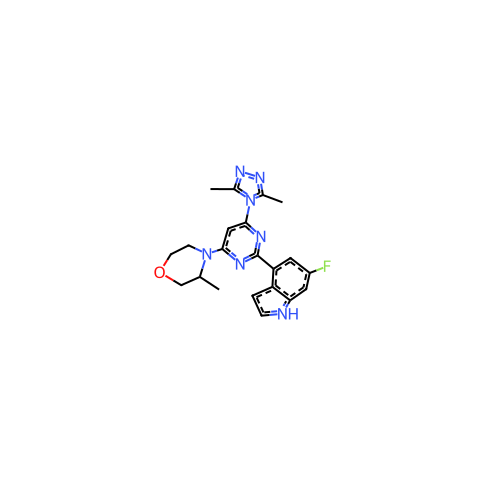 Cc1nnc(C)n1-c1cc(N2CCOCC2C)nc(-c2cc(F)cc3[nH]ccc23)n1